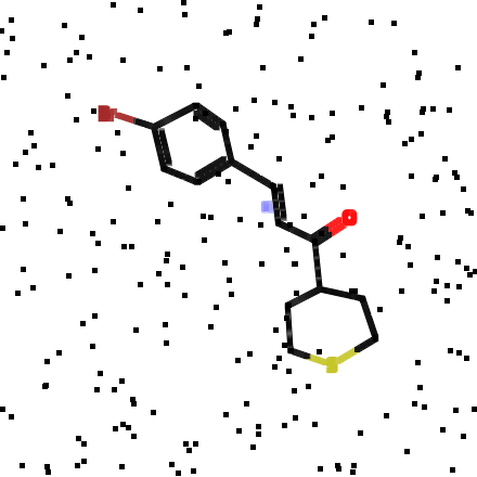 O=C(/C=C/c1ccc(Br)cc1)C1CCSCC1